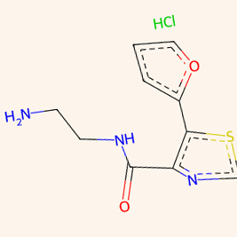 Cl.NCCNC(=O)c1ncsc1-c1ccco1